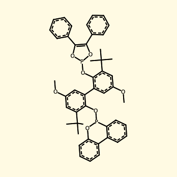 COc1cc(-c2cc(OC)cc(C(C)(C)C)c2OP2Oc3ccccc3-c3ccccc32)c(OP2OC(c3ccccc3)=C(c3ccccc3)O2)c(C(C)(C)C)c1